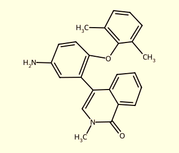 Cc1cccc(C)c1Oc1ccc(N)cc1-c1cn(C)c(=O)c2ccccc12